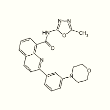 Cc1nnc(NC(=O)c2cccc3ccc(-c4cccc(N5CCOCC5)c4)nc23)o1